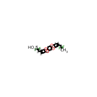 CC(F)(F)CC1CC2CC1C1OC3(CCC4(CC3)OC3C5CC(CC(F)(F)S(=O)(=O)O)C(C5)C3O4)OC21